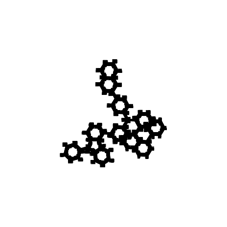 c1ccc(-c2cccc3cccc(-c4ccccc4N(c4ccc(-c5ccc6ccccc6c5)cc4)c4cccc(-c5cccc6c5c5ccccc5n6-c5ccccc5)c4)c23)cc1